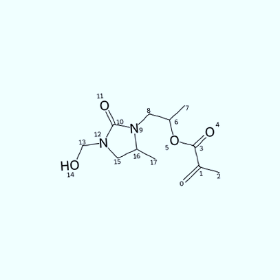 C=C(C)C(=O)OC(C)CN1C(=O)N(CO)CC1C